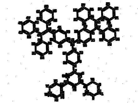 C1=NC=NC(c2nc(-c3ccc(N(c4ccc(C(=C(c5ccccc5)c5ccccc5)c5ccccc5)cc4)c4ccc(C(=C(c5ccccc5)c5ccccc5)c5ccccc5)cc4)cc3)nc(-c3ccncn3)n2)C1